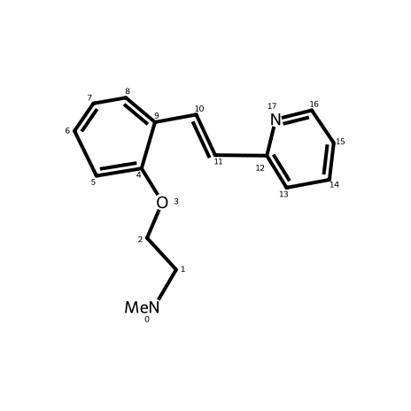 CNCCOc1ccccc1/C=C/c1ccccn1